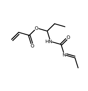 C=CC(=O)OC(CC)NC(=O)N=CC